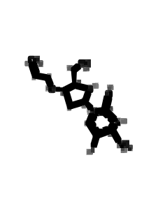 C=CCO[C@H]1C[C@H](n2cc(I)c(N)nc2=O)O[C@@H]1CO